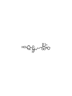 CC(C)[C@H](NC(=O)CCCCC(C)(C)NC(=O)c1ccc(O)cn1)C(=O)N1CCCC1